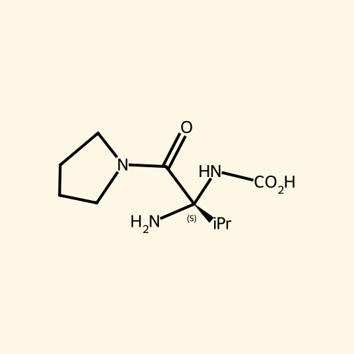 CC(C)[C@](N)(NC(=O)O)C(=O)N1CCCC1